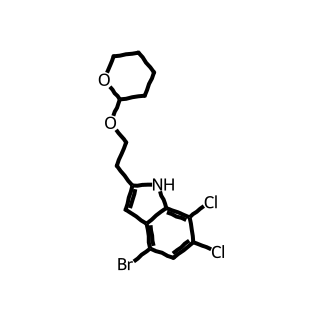 Clc1cc(Br)c2cc(CCOC3CCCCO3)[nH]c2c1Cl